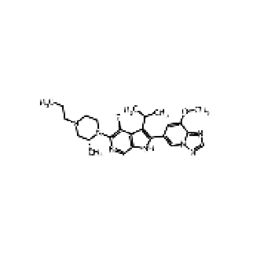 CCCN1CCN(c2ncc3[nH]c(-c4cc(OC)c5ncnn5c4)c(C(C)C)c3c2F)[C@H](C)C1